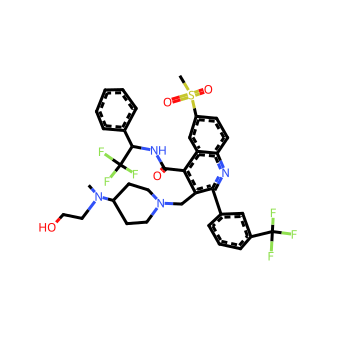 CN(CCO)C1CCN(Cc2c(-c3cccc(C(F)(F)F)c3)nc3ccc(S(C)(=O)=O)cc3c2C(=O)NC(c2ccccc2)C(F)(F)F)CC1